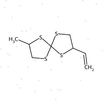 C=CC1CSC2(SCC(C)S2)S1